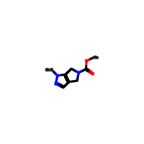 COn1ncc2c1CN(C(=O)OC(C)(C)C)C2